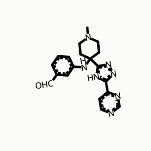 CN1CCC(Nc2cccc(C=O)c2)(c2nnc(-c3ccncn3)[nH]2)CC1